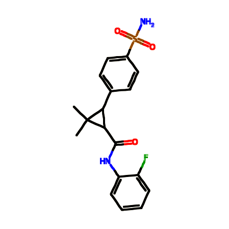 CC1(C)C(C(=O)Nc2ccccc2F)C1c1ccc(S(N)(=O)=O)cc1